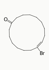 O=C1CCCCCCCC=C(Br)CCCCCC1